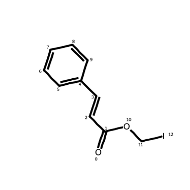 O=C(C=Cc1ccccc1)OCI